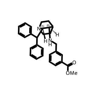 COC(=O)c1cccc(CN[C@@H]2C3CCN(CC3)[C@H]2C(c2ccccc2)c2ccccc2)c1